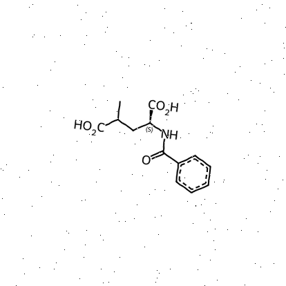 CC(C[C@H](NC(=O)c1ccccc1)C(=O)O)C(=O)O